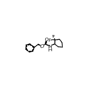 O=C(NC1CCCCC1(F)F)OCc1ccccc1